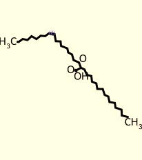 CCCCCCCC/C=C\CCCCCCCC(=O)C(CCCCCCCCCCCCCCCC)C(=O)O